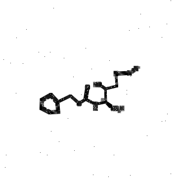 [N-]=[N+]=NCC(O)[C@H](NC(=O)OCc1ccccc1)C(=O)O